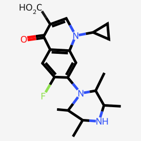 CC1NC(C)C(C)N(c2cc3c(cc2F)c(=O)c(C(=O)O)cn3C2CC2)C1C